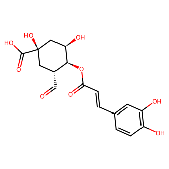 O=C[C@@H]1C[C@](O)(C(=O)O)C[C@@H](O)[C@H]1OC(=O)/C=C/c1ccc(O)c(O)c1